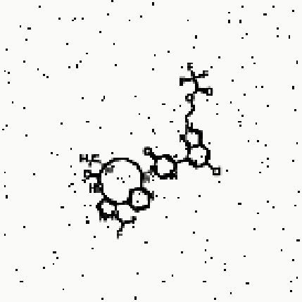 C[C@@H]1CCC[C@H](n2cnc(-c3cc(Cl)cc4cn(CCOC(=O)C(F)(F)F)nc34)cc2=O)c2cc(ccn2)-c2c(cnn2C(F)F)NC1=O